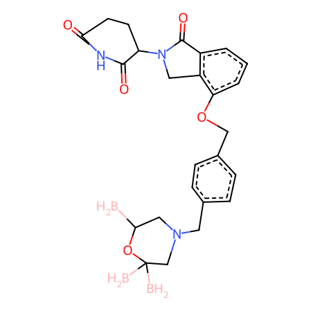 BC1CN(Cc2ccc(COc3cccc4c3CN(C3CCC(=O)NC3=O)C4=O)cc2)CC(B)(B)O1